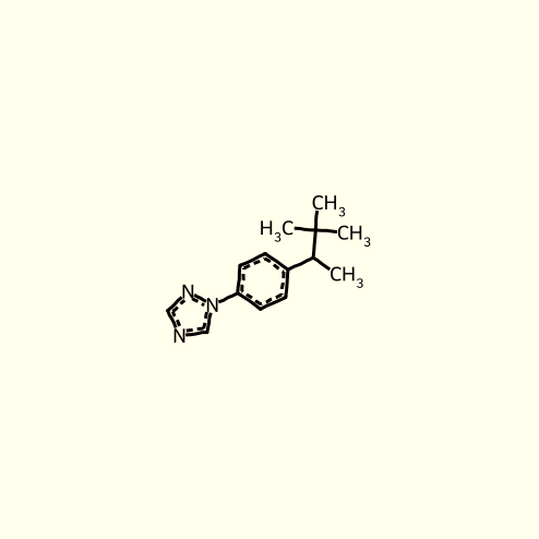 CC(c1ccc(-n2cncn2)cc1)C(C)(C)C